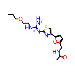 CCCOCCN/C(N)=N/c1nc(-c2ccc(CNC(C)=O)o2)cs1